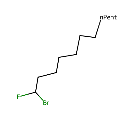 CCCCCCCCCCCC(F)Br